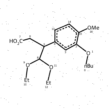 CCCCOc1cc(C(CC(=O)O)C(OCC)OCC)ccc1OC